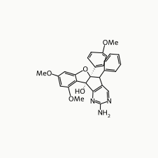 COc1ccc([C@@]23Oc4cc(OC)cc(OC)c4[C@]2(O)c2nc(N)ncc2C3c2ccccc2)cc1